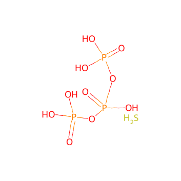 O=P(O)(O)OP(=O)(O)OP(=O)(O)O.S